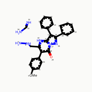 COc1ccc(-c2c(CNN)[nH]c3c(-c4ccccc4)c(-c4ccccc4)nn3c2=O)cc1.N=CN